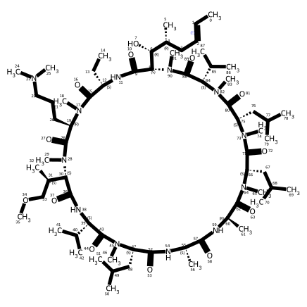 C/C=C/C[C@@H](C)[C@@H](O)[C@H]1C(=O)N[C@@H](CC)C(=O)N(C)[C@H](CCCN(C)C)C(=O)N(C)[C@@H]([C@H](C)COC)C(=O)N[C@@H](C(C)C)C(=O)N(C)[C@@H](CC(C)C)C(=O)N[C@@H](C)C(=O)N[C@H](C)C(=O)N(C)[C@@H](CC(C)C)C(=O)N(C)[C@@H](CC(C)C)C(=O)N(C)[C@@H](C(C)C)C(=O)N1C